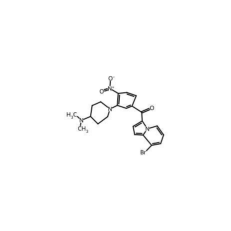 CN(C)C1CCN(c2cc(C(=O)c3ccc4c(Br)cccn34)ccc2[N+](=O)[O-])CC1